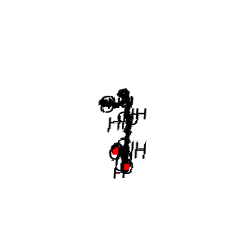 CC(CCN(CCCCNC(=O)C(=O)NCCCCCCN/C(=N/C(=O)OC(C)(C)C)NC(=O)OC(C)(C)C)Cc1ccccc1)NC(=O)OC(C)(C)C